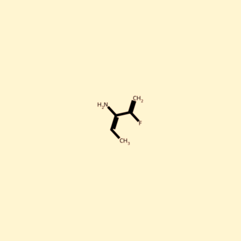 C=C(F)/C(N)=C\C